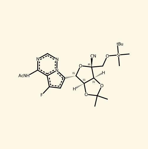 CC(=O)Nc1ncnn2c([C@@H]3O[C@](C#N)(CO[Si](C)(C)C(C)(C)C)[C@H]4OC(C)(C)O[C@@H]34)cc(F)c12